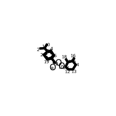 CC(C)c1ccc(C(=O)OO[C]2CCCC(C)C2C)cc1